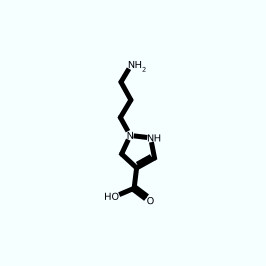 NCCCN1CC(C(=O)O)=CN1